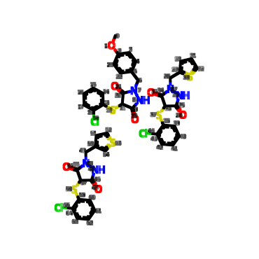 COc1ccc(CN2NC(=O)C(Sc3ccccc3Cl)C2=O)cc1.O=C1NN(Cc2cccs2)C(=O)C1Sc1ccccc1Cl.O=C1NN(Cc2ccsc2)C(=O)C1Sc1ccccc1Cl